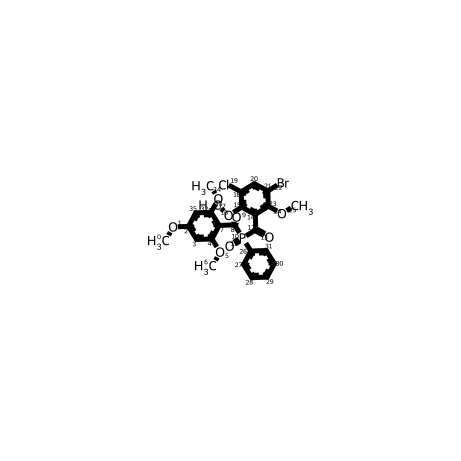 COc1cc(OC)c(C(=O)P(=O)(C(=O)c2c(OC)c(Cl)cc(Br)c2OC)c2ccccc2)c(OC)c1